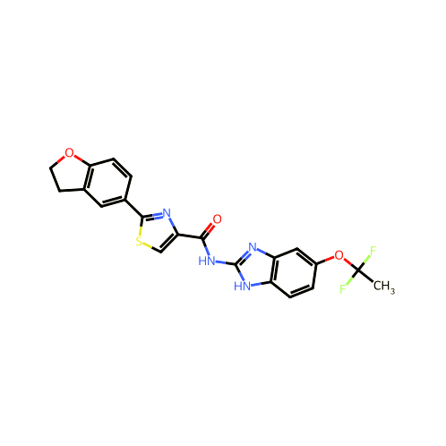 CC(F)(F)Oc1ccc2[nH]c(NC(=O)c3csc(-c4ccc5c(c4)CCO5)n3)nc2c1